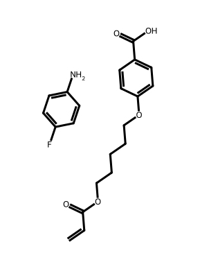 C=CC(=O)OCCCCCOc1ccc(C(=O)O)cc1.Nc1ccc(F)cc1